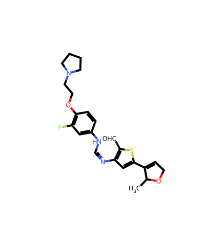 CC1OCC=C1c1cc(/N=C\Nc2ccc(OCCN3CCCC3)c(F)c2)c(C=O)s1